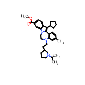 COC(=O)c1ccc2c(C3CCCC3)c3n(c2c1)CCN(CCC1CCCN(C(C)C)C1)c1cc(C)ccc1-3